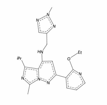 CCOc1ncccc1-c1cc(NCc2cnn(C)n2)c2c(C(C)C)nc(C)n2n1